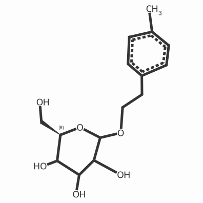 Cc1ccc(CCOC2O[C@H](CO)C(O)C(O)C2O)cc1